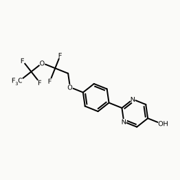 Oc1cnc(-c2ccc(OCC(F)(F)OC(F)(F)C(F)(F)F)cc2)nc1